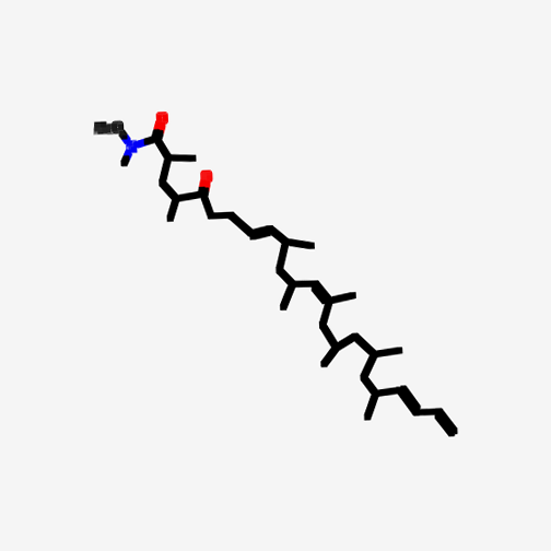 C=CC=CC(C)CC(C)CC(C)CC(C)=CC(C)CC(C)C=CCCC(=O)C(C)CC(C)C(=O)N(C)OC